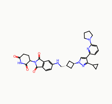 O=C1CCC(N2C(=O)c3ccc(NC[C@H]4C[C@H](n5cc(-c6cccc(N7CCCC7)n6)c(C6CC6)n5)C4)cc3C2=O)C(=O)N1